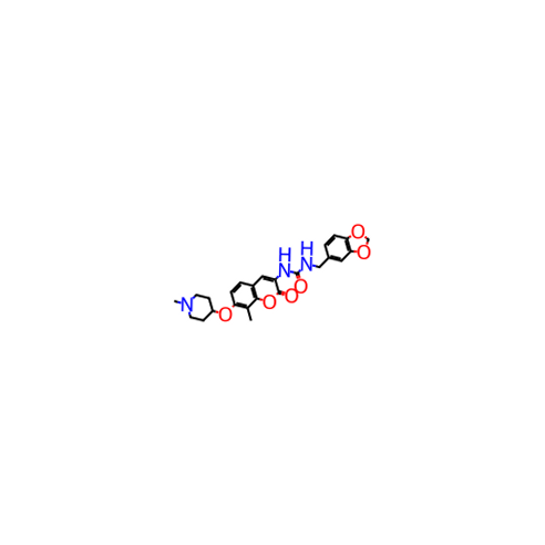 Cc1c(OC2CCN(C)CC2)ccc2cc(NC(=O)NCc3ccc4c(c3)OCO4)c(=O)oc12